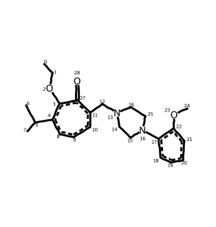 CCOc1c(C(C)C)cccc(CN2CCN(c3ccccc3OC)CC2)c1=O